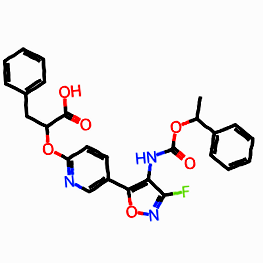 CC(OC(=O)Nc1c(F)noc1-c1ccc(OC(Cc2ccccc2)C(=O)O)nc1)c1ccccc1